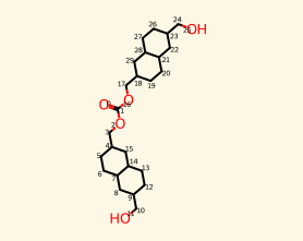 O=C(OCC1CCC2CC(CO)CCC2C1)OCC1CCC2CC(CO)CCC2C1